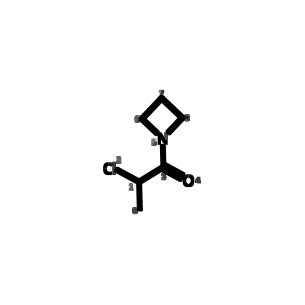 CC(Cl)C(=O)N1CCC1